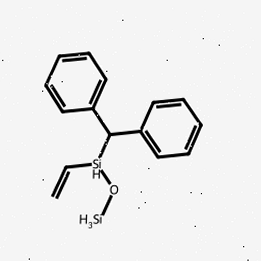 C=C[SiH](O[SiH3])C(c1ccccc1)c1ccccc1